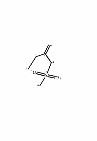 C=C(CC)CS(C)(=O)=O